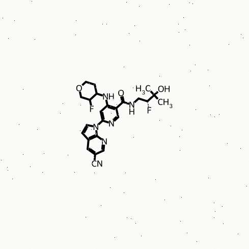 CC(C)(O)[C@H](F)CNC(=O)c1cnc(-n2ccc3cc(C#N)cnc32)cc1NC1CCOCC1F